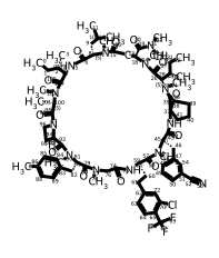 CC[C@H](C)[C@@H]1NC(=O)[C@H](CC(C)C)N(C)C(=O)C[C@@H](C(=O)N(C)C)N(C)C(=O)[C@H]([C@@H](C)CC)N(C)C(=O)C2(CCCC2)NC(=O)[C@H](Cc2cccc(C#N)c2)N(C)C(=O)[C@H](CCc2ccc(C(F)(F)F)c(Cl)c2)NC(=O)CN(C)C(=O)[C@H](Cc2ccc(C)cc2)N(C)C(=O)[C@@H]2CCN2C(=O)[C@H](C)N(C)C1=O